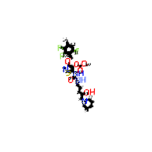 COC(=O)Oc1c(OCc2c(F)cc(C)c(F)c2F)nsc1NC(=O)NCCCC(O)CN1CCCCC1